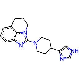 c1cc2c3c(c1)nc(N1CCC(c4c[nH]cn4)CC1)n3CCC2